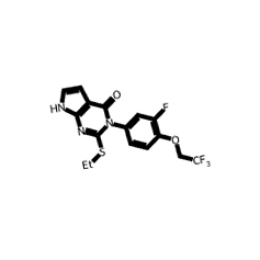 CCSc1nc2[nH]ccc2c(=O)n1-c1ccc(OCC(F)(F)F)c(F)c1